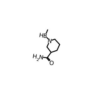 CBN1CCCC(C(N)=O)C1